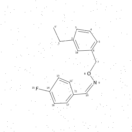 CCc1cccc(CO/N=[C]\c2ccc(F)cc2)c1